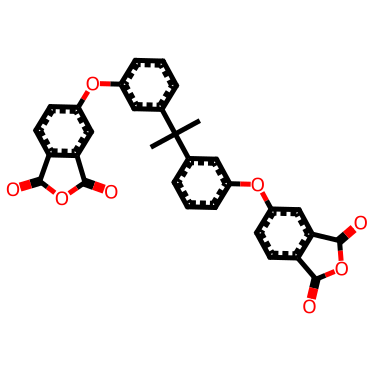 CC(C)(c1cccc(Oc2ccc3c(c2)C(=O)OC3=O)c1)c1cccc(Oc2ccc3c(c2)C(=O)OC3=O)c1